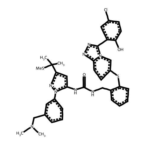 CSC(C)(C)c1cc(NC(=O)NCc2ccccc2Sc2ccc3nnc(-c4cc(Cl)ccc4O)n3c2)n(-c2cccc(CN(C)C)c2)n1